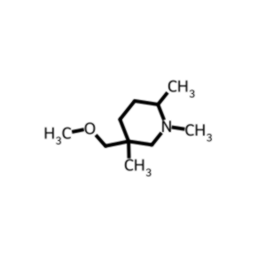 COCC1(C)CCC(C)N(C)C1